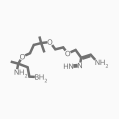 BCCC(C)(N)OCCC(C)(C)OCCOC/C(=C/N)N=N